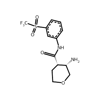 N[C@@H]1COCC[C@@H]1C(=O)Nc1cccc(S(=O)(=O)C(F)(F)F)c1